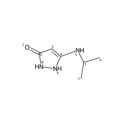 CC(C)Nc1cc(=O)[nH][nH]1